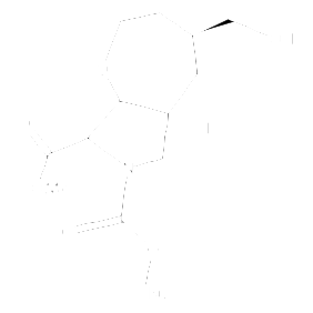 COC(=O)C1C2OCC[C@@H](CO)C[C@H]2CN1C(=O)OC(C)(C)C